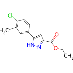 CCOC(=O)c1cc(-c2ccc(Cl)c(C)c2)[nH]n1